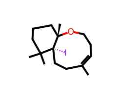 C/C1=C/CCO[C@@]2(C)CCCC(C)(C)[C@]2(I)CC1